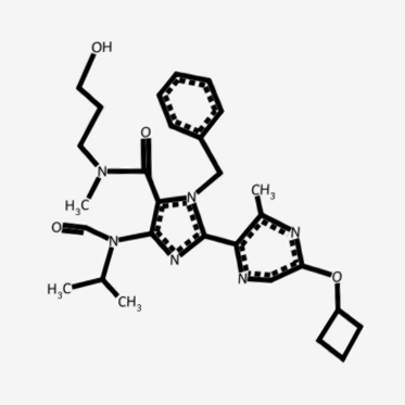 Cc1nc(OC2CCC2)cnc1-c1nc(N(C=O)C(C)C)c(C(=O)N(C)CCCO)n1Cc1ccccc1